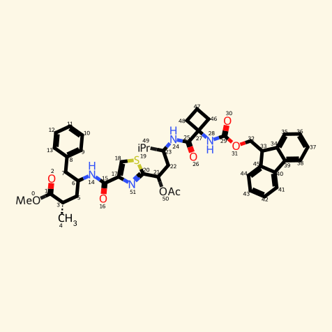 COC(=O)[C@@H](C)CC(Cc1ccccc1)NC(=O)c1csc(C(CC(NC(=O)C2(NC(=O)OCC3c4ccccc4-c4ccccc43)CCC2)C(C)C)OC(C)=O)n1